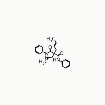 C=CCC(CC=CC)(C(=O)Nc1ccccc1)C(=O)Nc1ccccc1